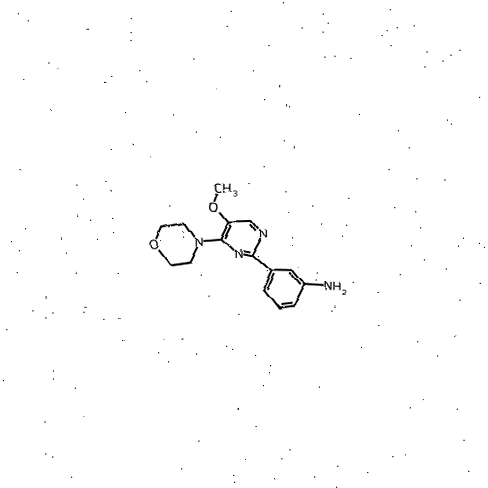 COc1cnc(-c2cccc(N)c2)nc1N1CCOCC1